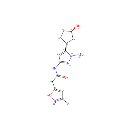 Cc1cc(CC(=O)Nc2cc([C@H]3CC[C@@H](O)C3)n(C(C)(C)C)n2)on1